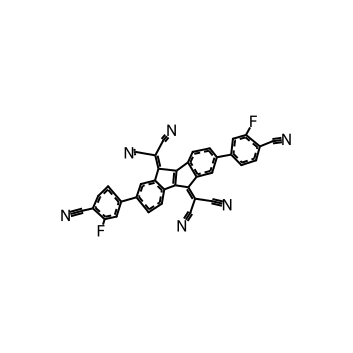 N#CC(C#N)=C1C2=C(C(=C(C#N)C#N)c3cc(-c4ccc(C#N)c(F)c4)ccc32)c2ccc(-c3ccc(C#N)c(F)c3)cc21